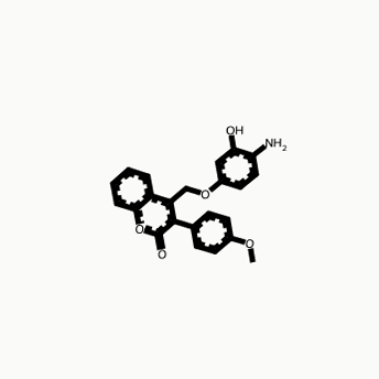 COc1ccc(-c2c(COc3ccc(N)c(O)c3)c3ccccc3oc2=O)cc1